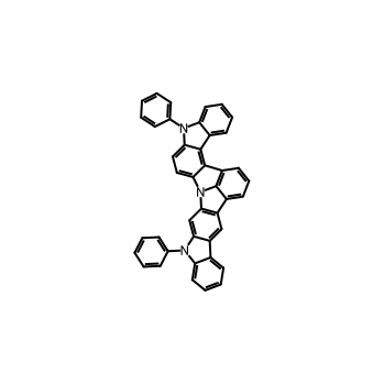 c1ccc(-n2c3ccccc3c3cc4c5cccc6c7c8c9ccccc9n(-c9ccccc9)c8ccc7n(c4cc32)c56)cc1